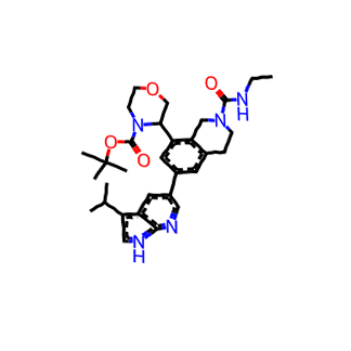 CCNC(=O)N1CCc2cc(-c3cnc4[nH]cc(C(C)C)c4c3)cc(C3COCCN3C(=O)OC(C)(C)C)c2C1